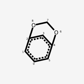 c1cc2cc(c1)OCO2